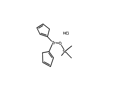 C[Si](C)(C)[O][Zr]([C]1=CC=CC1)[C]1=CC=CC1.Cl